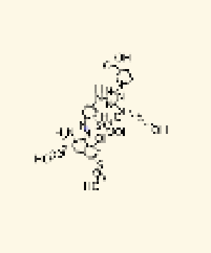 CN(CCSCCO)c1nc(Nc2ccc(/N=N/c3c(N)c(SOOO)cc4cc(SOOO)cc(O)c34)c(SOOO)c2)nc(-[n+]2cccc(C(=O)O)c2)n1